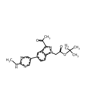 CNc1ncc(-c2ccc3c(c2)c(C(C)=O)nn3CC(=O)OC(C)(C)C)cn1